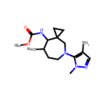 COC1CCN(c2c([N+](=O)[O-])cnn2C)CC2(CC2)C1NC(=O)OC(C)(C)C